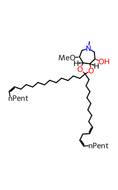 CCCCC/C=C\C/C=C\CCCCCCCCC1(CCCCCCCCCCC/C=C\CCCCC)O[C@@H]2[C@H](O1)[C@@H](OC)CN(C)C[C@H]2O